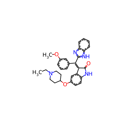 CCN1CCC(Oc2ccc3c(c2)C(=C(c2cccc(OC)c2)c2nc4ccccc4[nH]2)C(=O)N3)CC1